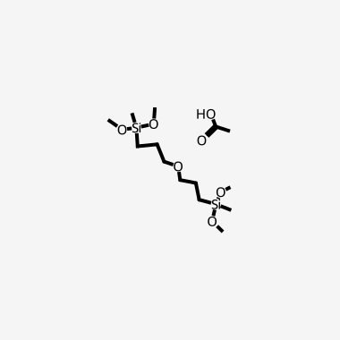 CC(=O)O.CO[Si](C)(CCCOCCC[Si](C)(OC)OC)OC